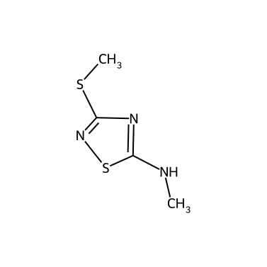 CNc1nc(SC)ns1